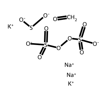 C=O.O=S(=O)([O-])OOS(=O)(=O)[O-].[K+].[K+].[Na+].[Na+].[O-]S[O-]